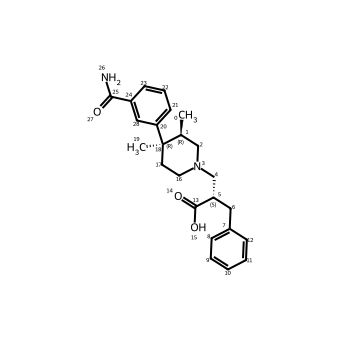 C[C@H]1CN(C[C@H](Cc2ccccc2)C(=O)O)CC[C@@]1(C)c1cccc(C(N)=O)c1